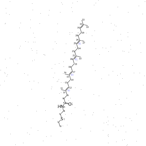 CCSCCNC(=O)CC/C(C)=C/CC/C(C)=C/CC/C=C(\C)CC/C=C(\C)CCC=C(C)C